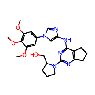 COc1cc(-n2cnc(Nc3nc(N4CCCC4CO)nc4c3CCC4)c2)cc(OC)c1OC